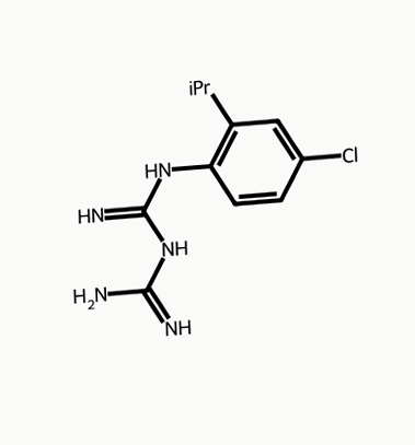 CC(C)c1cc(Cl)ccc1NC(=N)NC(=N)N